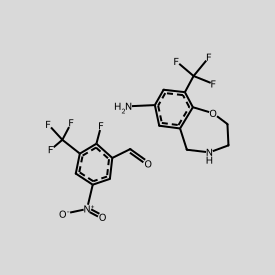 Nc1cc2c(c(C(F)(F)F)c1)OCCNC2.O=Cc1cc([N+](=O)[O-])cc(C(F)(F)F)c1F